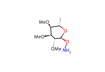 CO[C@H]1[C@@H](OC)[C@H](C)O[C@@H](ON)[C@@H]1OC